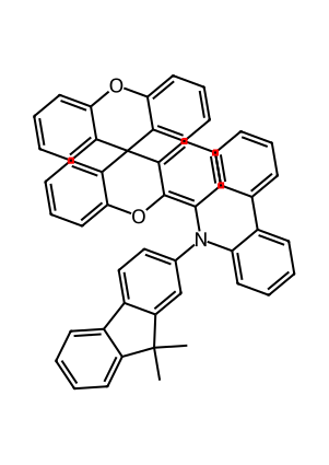 CC1(C)c2ccccc2-c2ccc(N(c3ccccc3-c3ccccc3)c3cccc4c3Oc3ccccc3C43c4ccccc4Oc4ccccc43)cc21